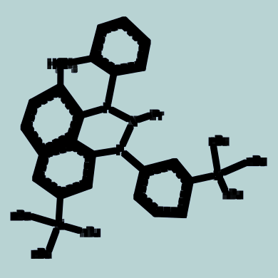 CCCC[Si](CCCC)(CCCC)c1cccc(P(c2cccc([Si](CCCC)(CCCC)CCCC)c2)N(C(C)C)P(c2ccccc2C)c2ccccc2C)c1